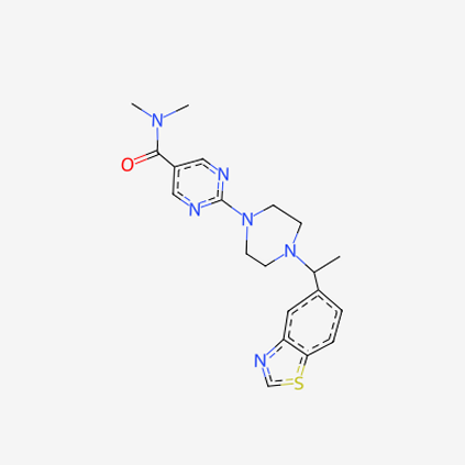 CC(c1ccc2scnc2c1)N1CCN(c2ncc(C(=O)N(C)C)cn2)CC1